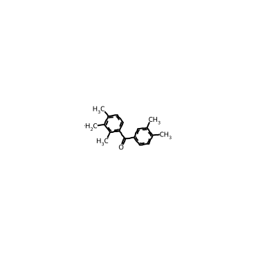 [CH2]c1c(C)ccc(C(=O)c2ccc(C)c(C)c2)c1C